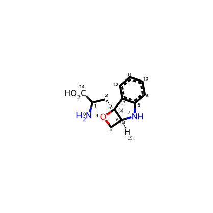 NC(C[C@@]12OC[C@@H]1Nc1ccccc12)C(=O)O